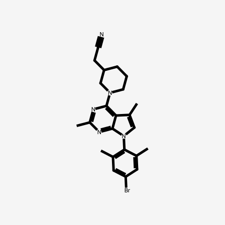 Cc1nc(N2CCCC(CC#N)C2)c2c(C)cn(-c3c(C)cc(Br)cc3C)c2n1